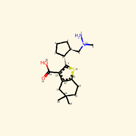 CN(N)C[C@@H]1CCC[C@H]1c1sc2c(c1C(=O)O)CC(C)(C)CC2